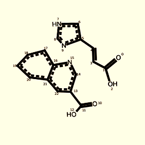 O=C(O)C=Cc1c[nH]cn1.O=C(O)c1cnc2ccccc2c1